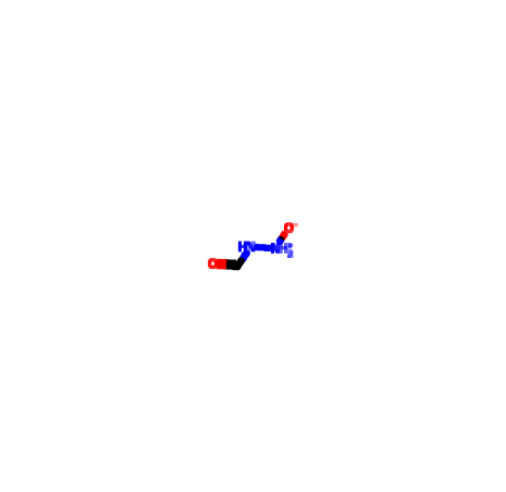 O=CN[NH2+][O-]